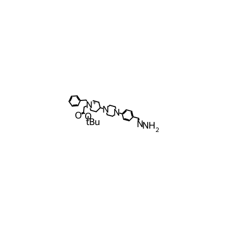 CC(C)(C)OC(=O)C[N+]1(Cc2ccccc2)CCC(N2CCN(c3ccc(C=NN)cc3)CC2)CC1